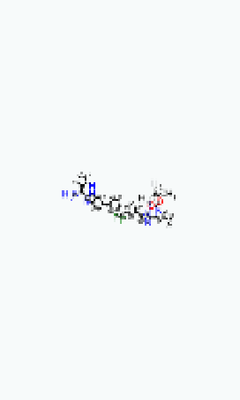 CC(C)(C)OC(=O)N1CC2(CC2)C[C@H]1c1ncc(-c2ccc3c(c2)C(F)(F)c2cc(-c4ccc5nc([C@@H](N)C6CCCC6)[nH]c5c4)ccc2-3)[nH]1